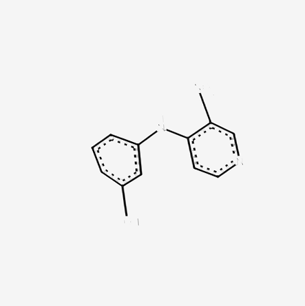 O=[N+]([O-])c1cnccc1Nc1cccc(O)c1